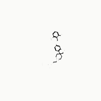 CC(C)c1cccc(F)c1CSc1ccc2c(c1)OCC21CCN(CCC(=O)O)CC1